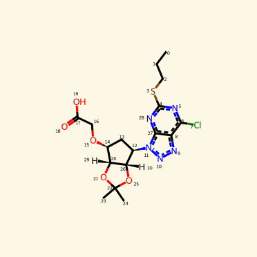 CCCSc1nc(Cl)c2nnn([C@@H]3C[C@H](OCC(=O)O)[C@H]4OC(C)(C)O[C@H]43)c2n1